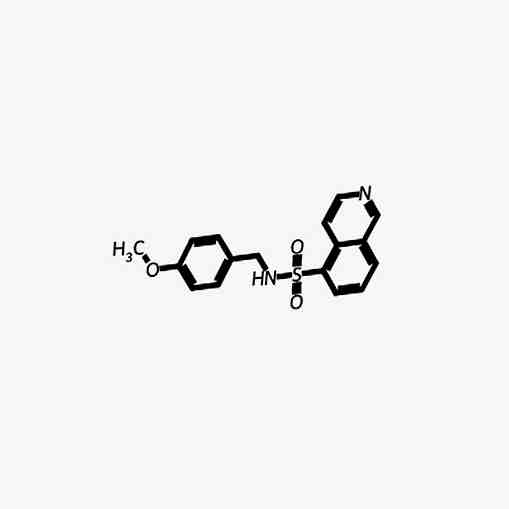 COc1ccc(CNS(=O)(=O)c2cccc3cnccc23)cc1